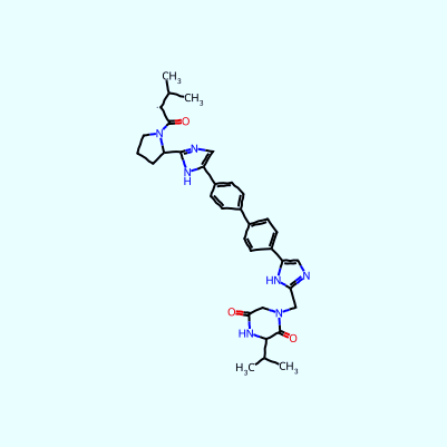 CC(C)[CH]C(=O)N1CCCC1c1ncc(-c2ccc(-c3ccc(-c4cnc(CN5CC(=O)NC(C(C)C)C5=O)[nH]4)cc3)cc2)[nH]1